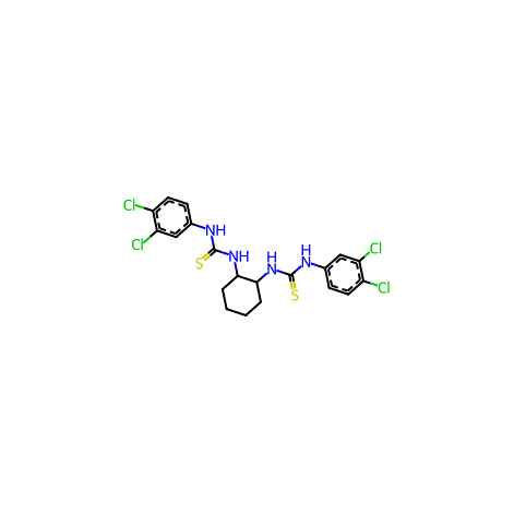 S=C(Nc1ccc(Cl)c(Cl)c1)NC1CCCCC1NC(=S)Nc1ccc(Cl)c(Cl)c1